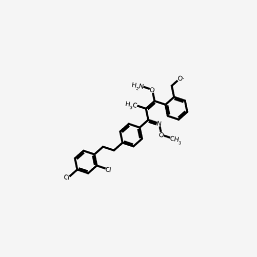 CON=C(C(C)=C(ON)c1ccccc1C[O])c1ccc(CCc2ccc(Cl)cc2Cl)cc1